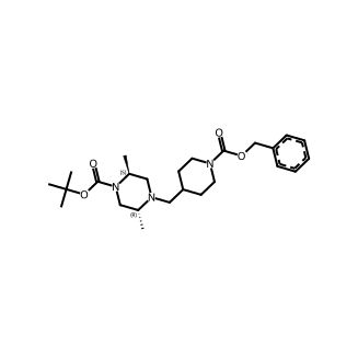 C[C@@H]1CN(C(=O)OC(C)(C)C)[C@@H](C)CN1CC1CCN(C(=O)OCc2ccccc2)CC1